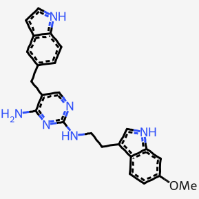 COc1ccc2c(CCNc3ncc(Cc4ccc5[nH]ccc5c4)c(N)n3)c[nH]c2c1